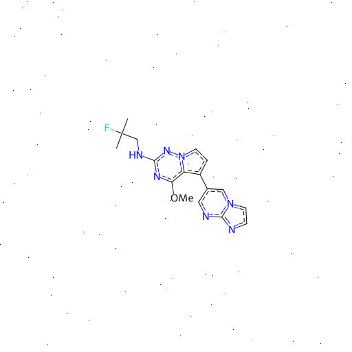 COc1nc(NCC(C)(C)F)nn2ccc(-c3cnc4nccn4c3)c12